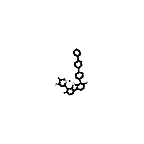 Cc1c[n+](C)c(-c2c(C)ccc3c2oc2c(-c4ccc(-c5ccc(-c6ccccc6)cc5)cc4)c(F)ccc23)cc1F